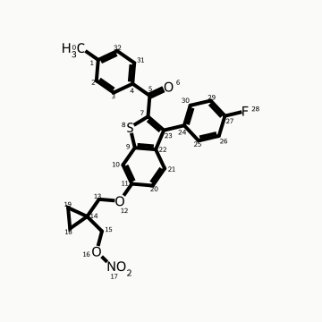 Cc1ccc(C(=O)c2sc3cc(OCC4(CO[N+](=O)[O-])CC4)ccc3c2-c2ccc(F)cc2)cc1